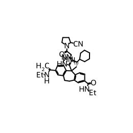 C=C(NCC)c1ccc2c(c1)CCc1cc(C(=O)NCC)ccc1C2(C[C@H](NCC(=O)N1CCCC1C#N)C1CCCCC1)c1nnn[nH]1